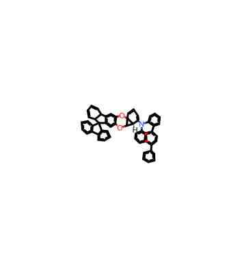 C1=CC2c3cc4c(cc3C3(c5ccccc5-c5ccccc53)C2C=C1)OC1[C@@H]2C(N(c3ccccc3)c3ccccc3-c3ccc(-c5ccccc5)cc3)=CC=CC12O4